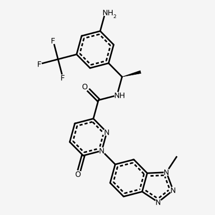 C[C@@H](NC(=O)c1ccc(=O)n(-c2ccc3nnn(C)c3c2)n1)c1cc(N)cc(C(F)(F)F)c1